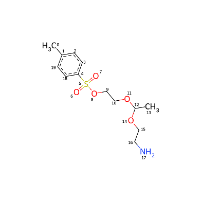 Cc1ccc(S(=O)(=O)OCCOC(C)OCCN)cc1